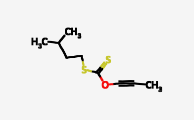 CC#COC(=S)SCCC(C)C